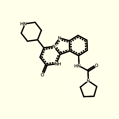 O=C(Nc1cccc2nn3c(C4CCNCC4)cc(=O)[nH]c3c12)N1CCCC1